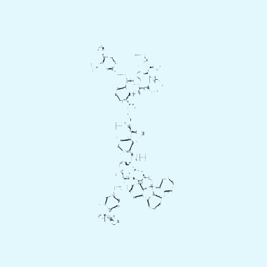 CCC(C)(C)C(=O)C(=O)N1CCCC[C@H]1C(=O)O[C@H](CCc1ccc(OC)c(OC)c1)c1cccc(OCCNC(=O)c2cccc(NC(=O)[C@@H]3C[C@H](SC(c4ccccc4)(c4ccccc4)c4ccccc4)CN3C(=O)OCc3ccc([N+](=O)[O-])cc3)c2)c1